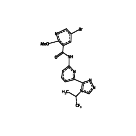 COc1ncc(Br)cc1C(=O)Nc1cccc(-c2nncn2C(C)C(F)(F)F)n1